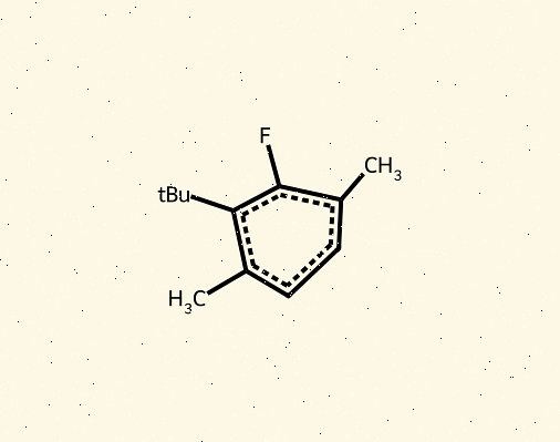 Cc1ccc(C)c(C(C)(C)C)c1F